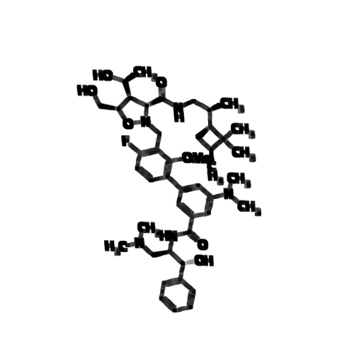 COc1c(-c2cc(C(=O)N[C@H](CN(C)C)[C@H](O)c3ccccc3)cc(N(C)C)c2)ccc(F)c1CN1O[C@@H](CO)[C@@H]([C@H](C)O)[C@H]1C(=O)NC[C@@H](C)[C@@H]1C[C@H](C)C1(C)C